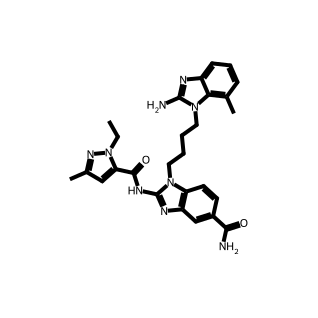 CCn1nc(C)cc1C(=O)Nc1nc2cc(C(N)=O)ccc2n1CCCCn1c(N)nc2cccc(C)c21